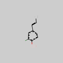 CC=Cc1ccc(O)c(F)c1